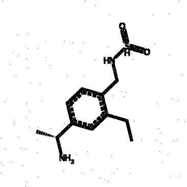 CCc1cc([C@@H](C)N)ccc1CN[SH](=O)=O